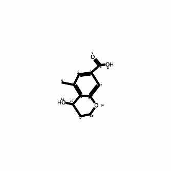 Cc1cc(C(=O)O)cc2c1C(O)CCO2